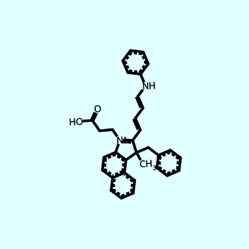 CC1(Cc2ccccc2)C(/C=C/C=C/Nc2ccccc2)=[N+](CCC(=O)O)c2ccc3ccccc3c21